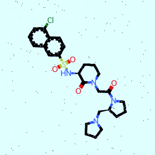 O=C1[C@@H](NS(=O)(=O)c2ccc3c(Cl)cccc3c2)CCCN1CC(=O)N1CCC[C@H]1CN1CCCC1